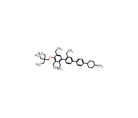 CCc1cc(-c2ccc(C3CCC(C)CC3)cc2)ccc1-c1cc(CC)c(OCC(CC)(CC)CC)c(CC)c1CC